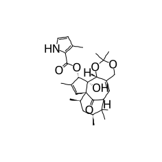 CC1=C[C@]23C(=O)[C@@H](C=C4COC(C)(C)O[C@H]4[C@]2(O)[C@H]1OC(=O)c1[nH]ccc1C)C(C)(C)[C@@H](C)C[C@H]3C